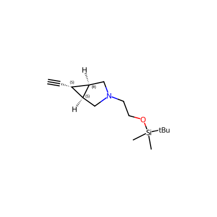 C#C[C@@H]1[C@H]2CN(CCO[Si](C)(C)C(C)(C)C)C[C@@H]12